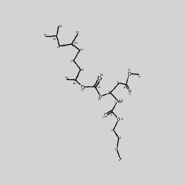 CCCCOC(=O)NC(CC(=O)OC)OC(=O)OC(C)CCCC(C)CC(C)C